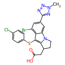 Cn1nnc(-c2cc(Br)c3c(Sc4ccc(Cl)cc4)c4n(c3c2)CCC4CC(=O)O)n1